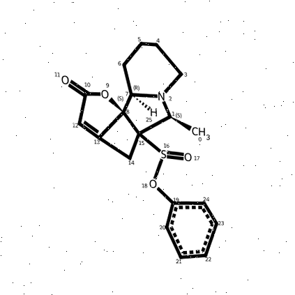 C[C@@H]1N2CCCC[C@@H]2[C@@]23OC(=O)C=C2CC13S(=O)Oc1ccccc1